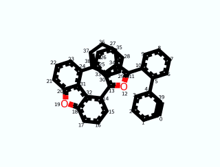 c1cccc(-c2ccccc2-c2oc(-c3cccc4oc5cccc(-c6ccccc6)c5c34)c3c2CCC=C3)c#1